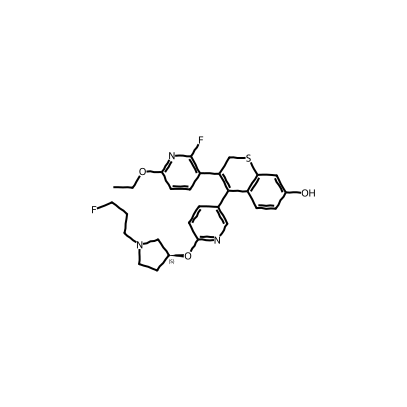 CCOc1ccc(C2=C(c3ccc(O[C@H]4CCN(CCCF)C4)nc3)c3ccc(O)cc3SC2)c(F)n1